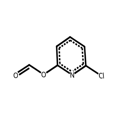 O=COc1cccc(Cl)n1